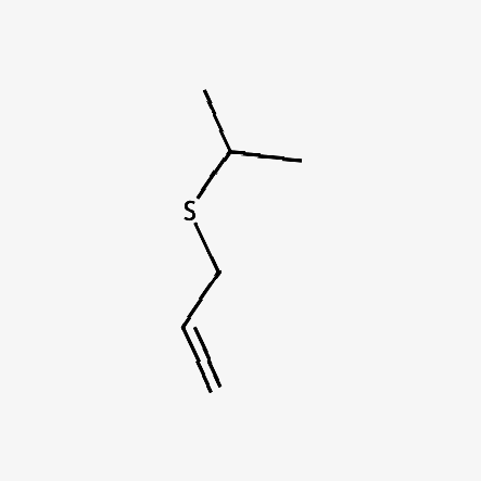 C=CCSC(C)C